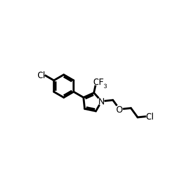 FC(F)(F)c1c(-c2ccc(Cl)cc2)ccn1COCCCl